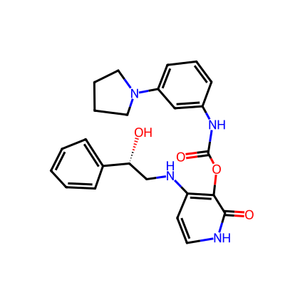 O=C(Nc1cccc(N2CCCC2)c1)Oc1c(NC[C@@H](O)c2ccccc2)cc[nH]c1=O